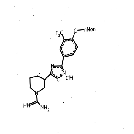 CCCCCCCCCOc1ccc(-c2noc(C3CCCN(C(=N)N)C3)n2)cc1C(F)(F)F.Cl